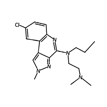 CCCN(CCN(C)C)c1nc2ccc(Cl)cc2c2cn(C)nc12